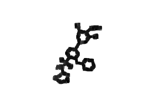 COc1c(Cl)cc(-c2ccc(S(=O)(=O)Nc3cnco3)c(Cc3ccccc3)c2)cc1Cl